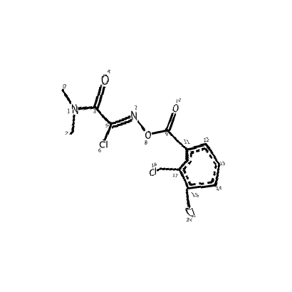 CN(C)C(=O)C(Cl)=NOC(=O)c1cccc(Cl)c1Cl